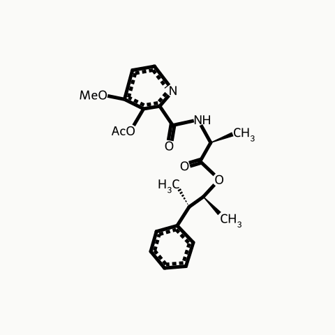 COc1ccnc(C(=O)N[C@@H](C)C(=O)O[C@@H](C)[C@@H](C)c2ccccc2)c1OC(C)=O